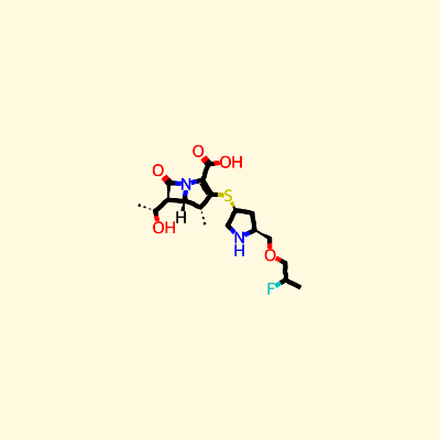 CC(F)COC[C@@H]1C[C@H](SC2=C(C(=O)O)N3C(=O)[C@H]([C@@H](C)O)[C@H]3[C@H]2C)CN1